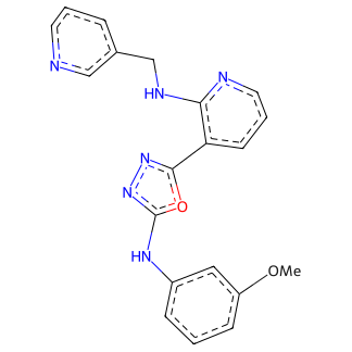 COc1cccc(Nc2nnc(-c3cccnc3NCc3cccnc3)o2)c1